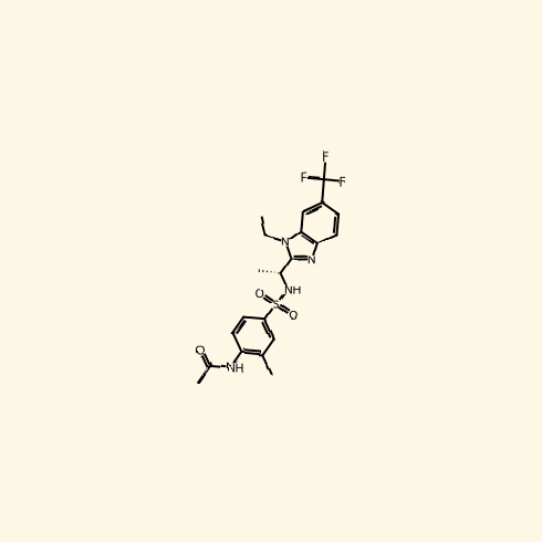 CCn1c([C@@H](C)NS(=O)(=O)c2ccc(NC(C)=O)c(C)c2)nc2ccc(C(F)(F)F)cc21